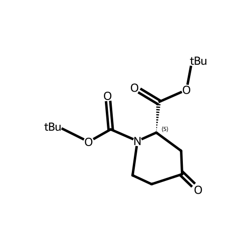 CC(C)(C)OC(=O)[C@@H]1CC(=O)CCN1C(=O)OC(C)(C)C